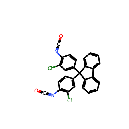 O=C=Nc1ccc(C2(c3ccc(N=C=O)c(Cl)c3)c3ccccc3-c3ccccc32)cc1Cl